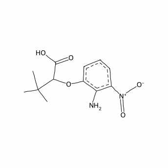 CC(C)(C)C(Oc1cccc([N+](=O)[O-])c1N)C(=O)O